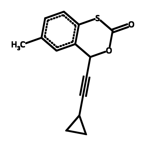 Cc1ccc2c(c1)C(C#CC1CC1)OC(=O)S2